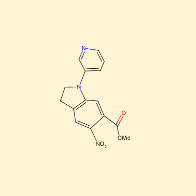 COC(=O)c1cc2c(cc1[N+](=O)[O-])CCN2c1cccnc1